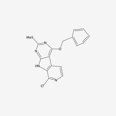 CSc1nc(OCc2ccccc2)c2c(n1)[nH]c1c(Cl)nccc12